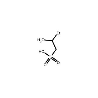 [CH2]CC(C)CS(=O)(=O)O